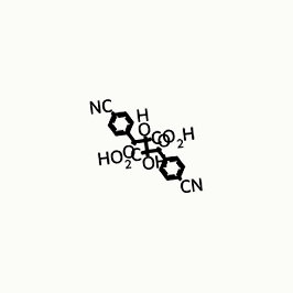 N#Cc1ccc(C(=O)C(O)(C(=O)O)C(O)(C(=O)O)C(=O)c2ccc(C#N)cc2)cc1